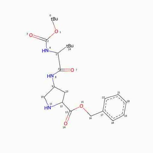 CC(C)(C)OC(=O)NC(C(=O)NC1CNC(C(=O)OCc2ccccc2)C1)C(C)(C)C